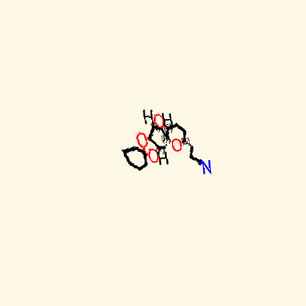 N#CCC[C@H]1CC[C@@H]2O[C@@H]3C[C@]2(C[C@H]2OC4(CCCCC4)OC32)O1